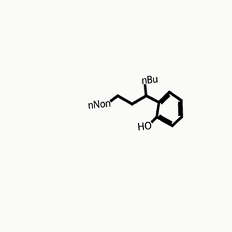 CCCCCCCCCCCC(CCCC)c1ccccc1O